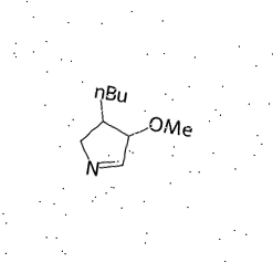 CCCCC1CN=CC1OC